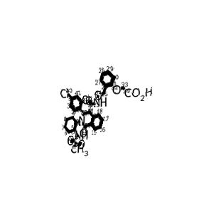 CS(=O)(=O)N[C@H]1CCCC[C@@H]1N1C(=O)c2ccccc2[C@@H](C(=O)NOCc2ccccc2OCC(=O)O)[C@@H]1c1ccc(Cl)cc1Cl